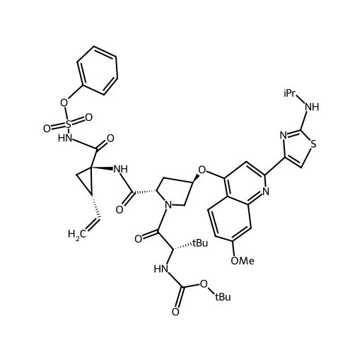 C=C[C@@H]1C[C@]1(NC(=O)[C@@H]1C[C@@H](Oc2cc(-c3csc(NC(C)C)n3)nc3cc(OC)ccc23)CN1C(=O)[C@@H](NC(=O)OC(C)(C)C)C(C)(C)C)C(=O)NS(=O)(=O)Oc1ccccc1